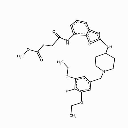 CCOc1cc(CN2CCC(Nc3nc4cccc(NC(=O)CCC(=O)OC)c4o3)CC2)cc(OCC)c1F